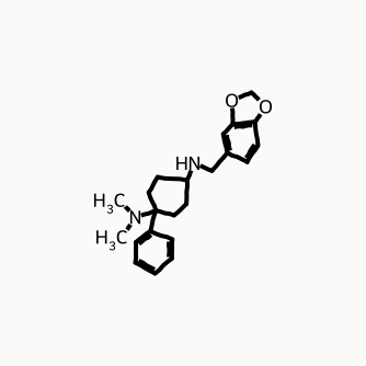 CN(C)C1(c2ccccc2)CCC(NCc2ccc3c(c2)OCO3)CC1